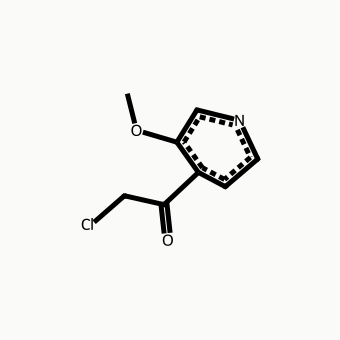 COc1cnccc1C(=O)CCl